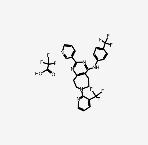 FC(F)(F)c1ccc(Nc2nc(-c3cccnc3)nc3c2CCN(c2ncccc2C(F)(F)F)CC3)cc1.O=C(O)C(F)(F)F